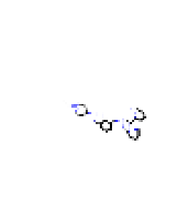 CCCCN1CCC(NCc2cccc(CN(CCc3ccccn3)Cc3ccccn3)c2)CC1